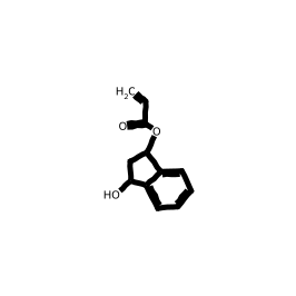 C=CC(=O)OC1CC(O)c2ccccc21